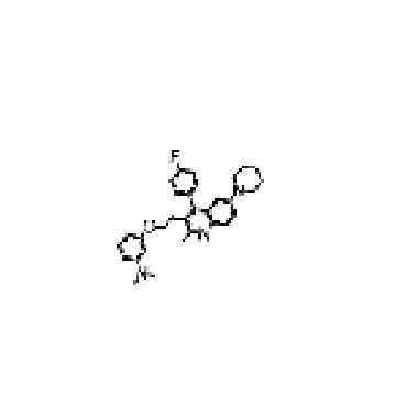 Cc1nc2ccc(N3CCCCC3)cc2c(-c2ccc(F)cc2)c1CCOc1cccc(N(C)C)c1